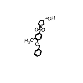 Cc1cc(S(=O)(=O)N2CC[C@H](CO)C2)ccc1OCc1ccccc1